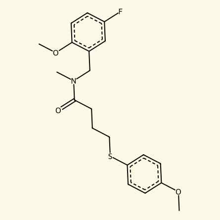 COc1ccc(SCCCC(=O)N(C)Cc2cc(F)ccc2OC)cc1